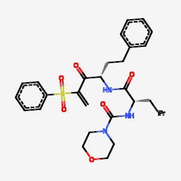 C=C(C(=O)[C@H](CCc1ccccc1)NC(=O)[C@H](CC(C)C)NC(=O)N1CCOCC1)S(=O)(=O)c1ccccc1